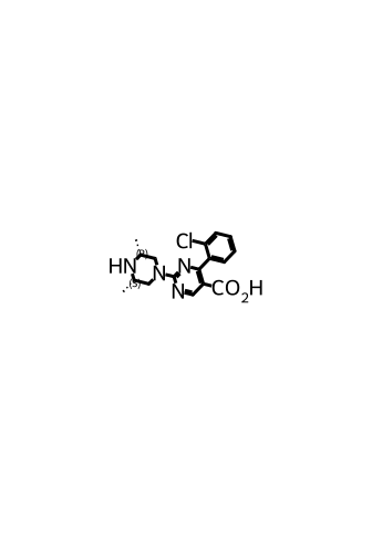 C[C@@H]1CN(c2ncc(C(=O)O)c(-c3ccccc3Cl)n2)C[C@H](C)N1